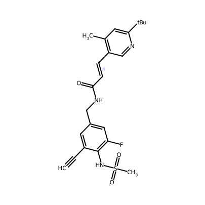 C#Cc1cc(CNC(=O)/C=C/c2cnc(C(C)(C)C)cc2C)cc(F)c1NS(C)(=O)=O